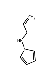 C=CCNn1cccc1